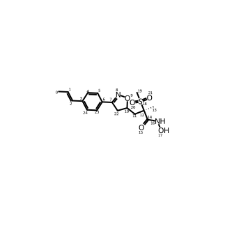 C/C=C/c1ccc(C2=NOC(C[C@](C)(C(=O)NO)S(C)(=O)=O)C2)cc1